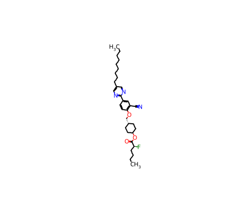 CCCCCCCCCc1cnc(-c2ccc(OC[C@H]3CC[C@H](OC(=O)[C@@H](F)CCCC)CC3)c(C#N)c2)nc1